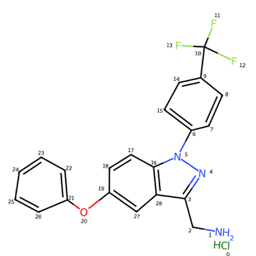 Cl.NCc1nn(-c2ccc(C(F)(F)F)cc2)c2ccc(Oc3ccccc3)cc12